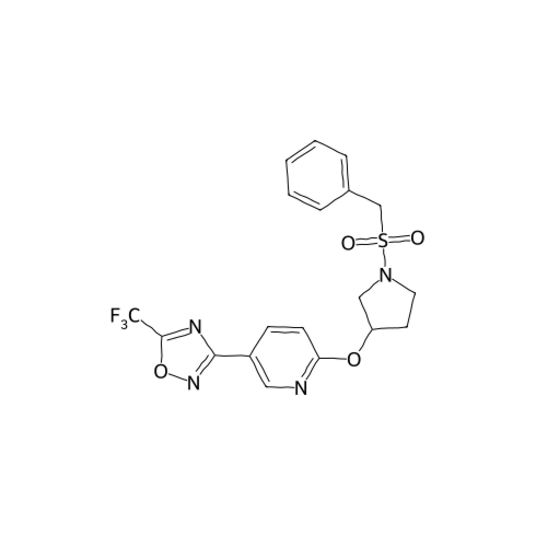 O=S(=O)(Cc1ccccc1)N1CCC(Oc2ccc(-c3noc(C(F)(F)F)n3)cn2)C1